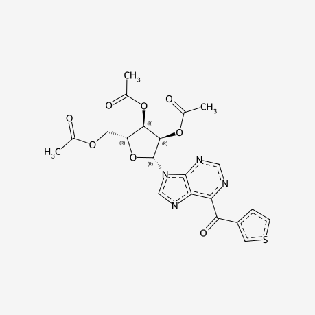 CC(=O)OC[C@H]1O[C@@H](n2cnc3c(C(=O)c4ccsc4)ncnc32)[C@H](OC(C)=O)[C@@H]1OC(C)=O